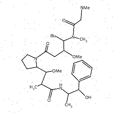 CCC(C)C(C(CC(=O)N1CCCC1C(OC)C(C)C(=O)NC(C)C(O)c1ccccc1)OC)N(C)C(=O)CNC